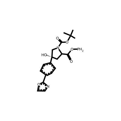 CC(C)(C)OC(=O)N1C[C@](O)(c2ccc(-c3ncco3)cc2)CC1C(=O)OP